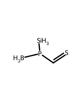 BP([SiH3])C=S